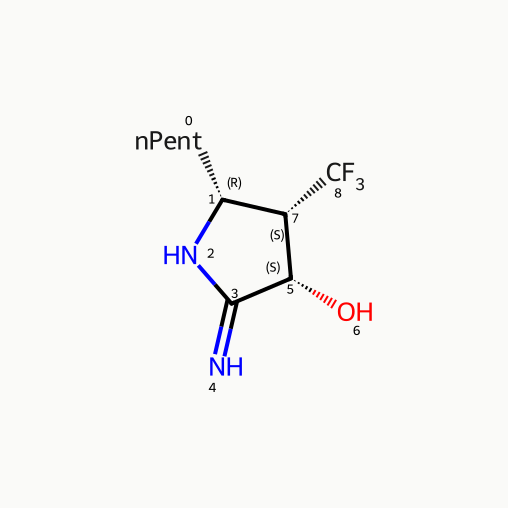 CCCCC[C@H]1NC(=N)[C@@H](O)[C@H]1C(F)(F)F